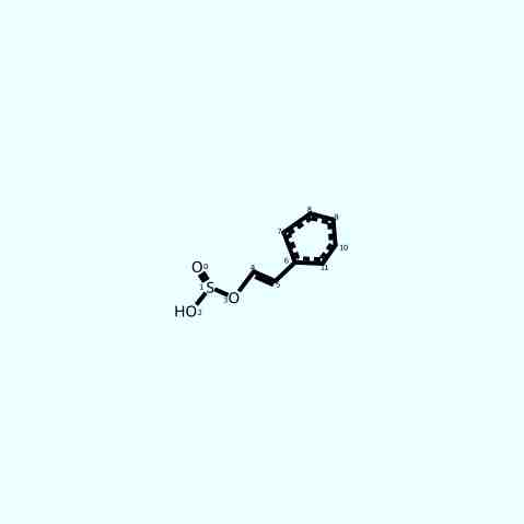 O=S(O)OC=Cc1ccccc1